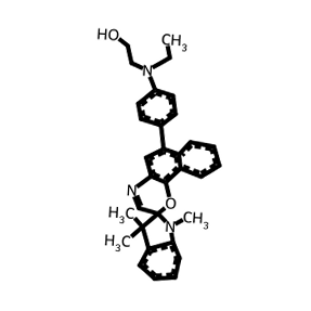 CCN(CCO)c1ccc(-c2cc3c(c4ccccc24)OC2(C=N3)N(C)c3ccccc3C2(C)C)cc1